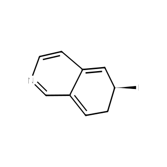 I[C@@H]1C=c2ccncc2=CC1